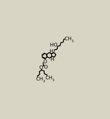 CCCCC[C@H](O)CC[C@H]1CC[C@@H]2Cc3c(cccc3OCC(=O)OC(CCCC)CCCC)C[C@H]12